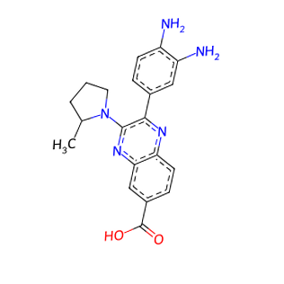 CC1CCCN1c1nc2cc(C(=O)O)ccc2nc1-c1ccc(N)c(N)c1